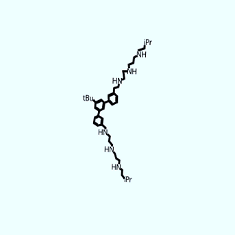 CC(C)CCNCCCNCCCNCc1cccc(-c2cc(-c3cccc(CCNCCNCCCNCCC(C)C)c3)cc(C(C)(C)C)c2)c1